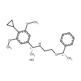 COc1cc([C@@H](C)NCCO[C@@H](C)c2ccccc2)cc(OC)c1C1CC1.Cl